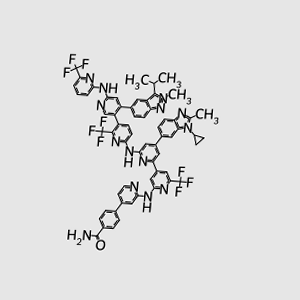 Cc1nc2ccc(-c3cc(Nc4ccc(-c5cnc(Nc6cccc(C(F)(F)F)n6)cc5-c5ccc6nn(C)c(C(C)C)c6c5)c(C(F)(F)F)n4)nc(-c4cc(Nc5cc(-c6ccc(C(N)=O)cc6)ccn5)nc(C(F)(F)F)c4)c3)cc2n1C1CC1